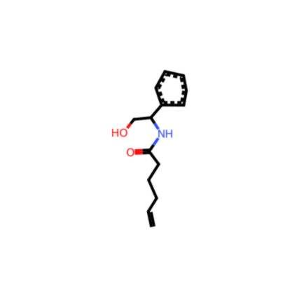 C=CCCCC(=O)NC(CO)c1ccccc1